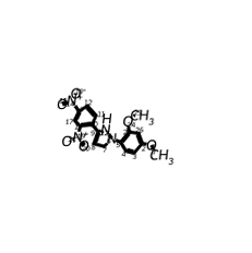 COc1ccc(N2CC=C(c3ccc([N+](=O)[O-])cc3[N+](=O)[O-])N2)c(OC)c1